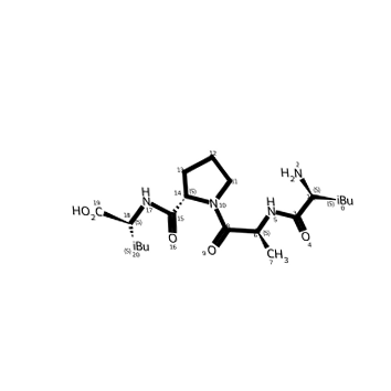 CC[C@H](C)[C@H](N)C(=O)N[C@@H](C)C(=O)N1CCC[C@H]1C(=O)N[C@H](C(=O)O)[C@@H](C)CC